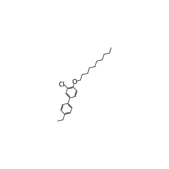 CCCCCCCCCCOc1ccc(-c2ccc(CC)cc2)cc1Cl